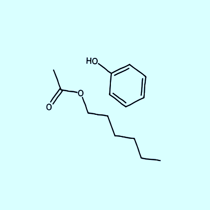 CCCCCCOC(C)=O.Oc1ccccc1